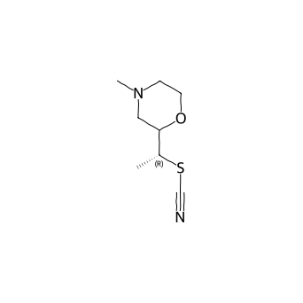 C[C@@H](SC#N)C1CN(C)CCO1